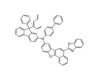 C=C/C=C(\C=C)C1(c2ccccc2)c2ccccc2-c2ccc(N(c3ccc(-c4ccccc4)cc3)c3ccc4oc5c6ccccc6c(-c6nc7ccccc7o6)cc5c4c3)cc21